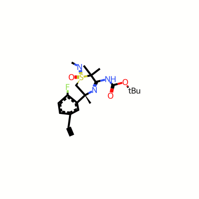 C#Cc1ccc(F)c([C@]2(C)C[S@@](=O)(=NC)C(C)(C)C(NC(=O)OC(C)(C)C)=N2)c1